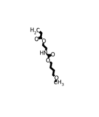 C=CC(=O)OCCNC(=O)OCCCCOC